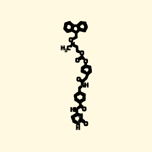 CN(CCOC(=O)Oc1ccc(CC(=O)NCc2ccc(C(=O)Nc3cc[nH]c(=O)n3)cc2)cc1)OCC1c2ccccc2-c2ccccc21